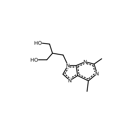 Cc1nc(C)c2ncn(CC(CO)CO)c2n1